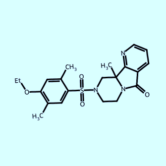 CCOc1cc(C)c(S(=O)(=O)N2CCN3C(=O)c4cccnc4C3(C)C2)cc1C